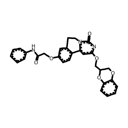 O=C(COc1ccc2c(c1)CCn1c-2cc(OCC2COc3ccccc3O2)nc1=O)Nc1ccccc1